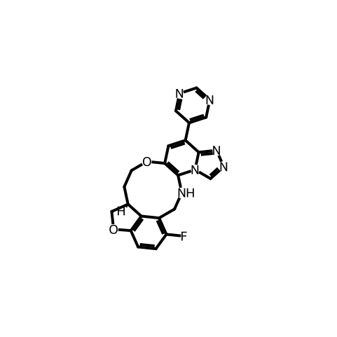 Fc1ccc2c3c1CNc1c(cc(-c4cncnc4)c4nncn14)OCC[C@H]3CO2